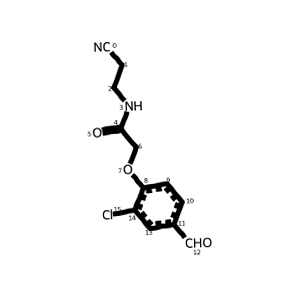 N#CCCNC(=O)COc1ccc(C=O)cc1Cl